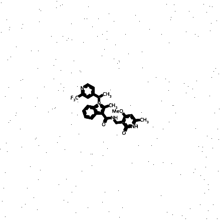 COc1cc(C)[nH]c(=O)c1CNC(=O)c1c(C)n(C(C)c2ccnc(C(F)(F)F)c2)c2ccccc12